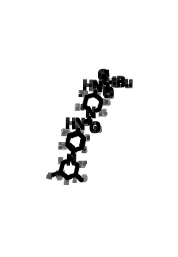 CC1C[C@@H](C)CN(c2ccc(NC(=O)N3CCC(NS(=O)(=O)C(C)(C)C)CC3)cc2)C1